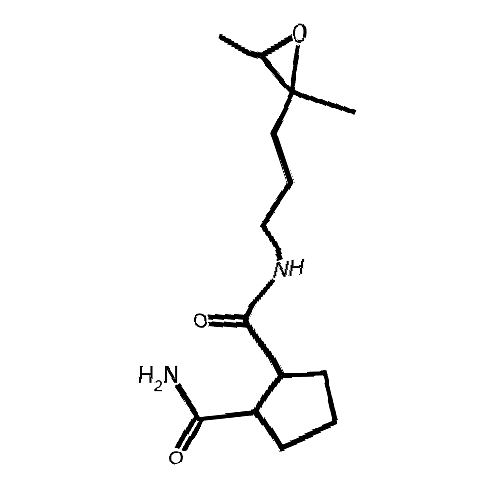 CC1OC1(C)CCCNC(=O)C1CCCC1C(N)=O